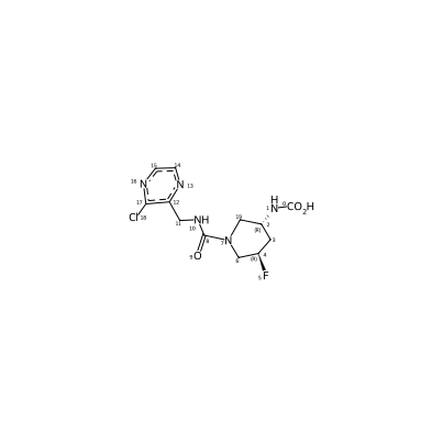 O=C(O)N[C@@H]1C[C@@H](F)CN(C(=O)NCc2nccnc2Cl)C1